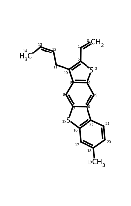 C=Cc1sc2cc3c(cc2c1C/C=C\C)sc1cc(C)ccc13